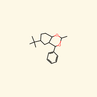 CC1OC2CCC(C(C)(C)C)CC2C(c2ccccc2)O1